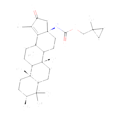 CC(=O)O[C@H]1CC[C@@]2(C)C(CC[C@]3(C)C2CCC2C4=C(C(C)C)C(=O)C[C@]4(NC(=O)OCC4(C)CC4)CC[C@]23C)C1(C)C